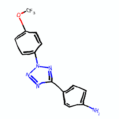 Nc1ccc(-c2nnn(-c3ccc(OC(F)(F)F)cc3)n2)cc1